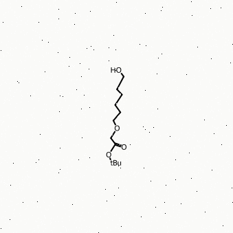 CC(C)(C)OC(=O)COCCCCCCO